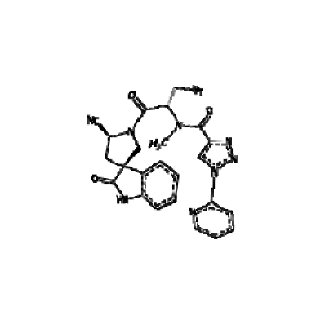 CC(C)C[C@@H](C(=O)N1C[C@]2(C[C@H]1C#N)C(=O)Nc1ccccc12)N(C)C(=O)c1cn(-c2ccccn2)nn1